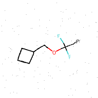 CC(C)C(F)(F)OCC1CCC1